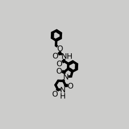 O=C1CCC(N2Cc3cccc(C(=O)NC(=O)OCc4ccccc4)c3C2=O)C(=O)N1